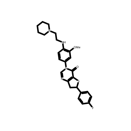 COc1cc(-n2cnc3c(c2=O)SC(c2ccc(F)cc2)C3)ccc1NCCN1CCCCC1